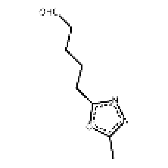 Cc1nnc(CCCCC=O)o1